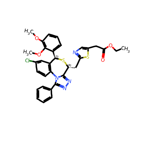 CCOC(=O)Cc1cnc(C[C@H]2S[C@H](c3cccc(OC)c3OC)c3cc(Cl)ccc3-n3c(-c4ccccc4)nnc32)s1